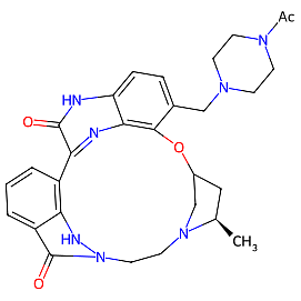 CC(=O)N1CCN(Cc2ccc3[nH]c(=O)c4nc3c2OC2C[C@@H](C)N(CCn3[nH]c5c-4cccc5c3=O)C2)CC1